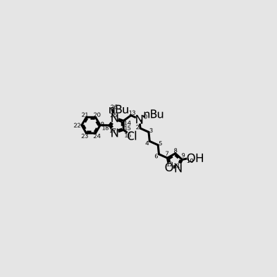 CCCCN(CCCCCc1cc(O)no1)Cc1c(Cl)nc(-c2ccccc2)n1CCCC